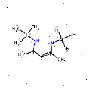 C/C(=C/C(C)N[Si](C)(C)C)N[Si](C(C)C)(C(C)C)C(C)C